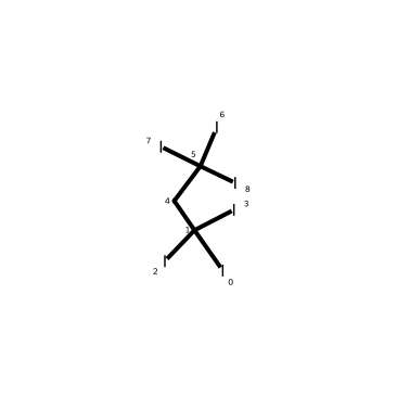 IC(I)(I)CC(I)(I)I